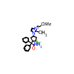 COCC[n+]1ccn([C@H]2CC[C@@H](C(C(N)=O)(c3ccccc3)c3ccccc3)C2)c1C.[Br-]